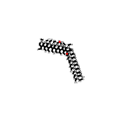 CCC1CCN(CC)C2=C1C(CC)C1=C(N2CC)N(CC)C2=C(C1CC)C(CC)C1=C(N2CC)N(CC)C2=C(C(CC)C3=C(N(CC)C4=C(C3CC)C(CC)C3(CSc5sc6sc7sc8sc9sc%10sc%11c(n(CC)c%10n(CC)c9n(CC)c8n(CC)c7n(CC)c6n(CC)c5N3CC)N(CC)CCS%11)CN4CC)N2CC)C1CC